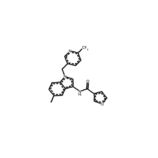 Cc1ccc2c(c1)c(NC(=O)c1ccoc1)cn2Cc1ccc(C(F)(F)F)nc1